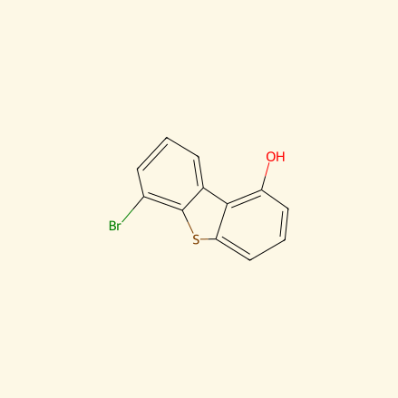 Oc1cccc2sc3c(Br)cccc3c12